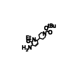 CCOc1nc(C2CCN(C(=O)OC(C)(C)C)CC2)ccc1N